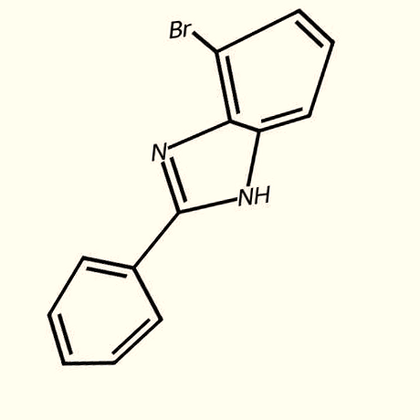 Brc1cccc2[nH]c(-c3ccccc3)nc12